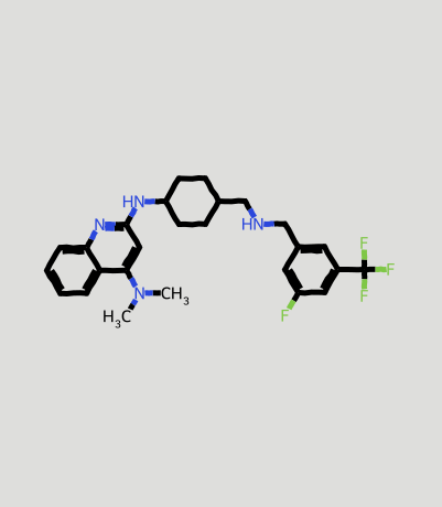 CN(C)c1cc(NC2CCC(CNCc3cc(F)cc(C(F)(F)F)c3)CC2)nc2ccccc12